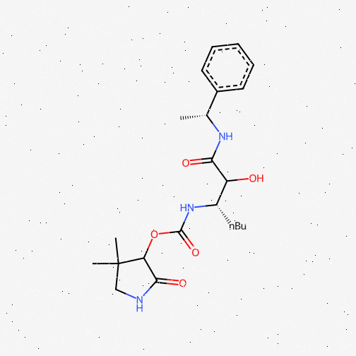 CCCC[C@H](NC(=O)OC1C(=O)NCC1(C)C)C(O)C(=O)N[C@H](C)c1ccccc1